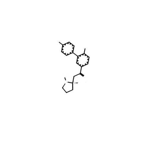 O=C(C[C@]1(C(=O)O)CCCN1C(=O)O)c1ccc(I)c(-c2ccc(F)cc2)c1